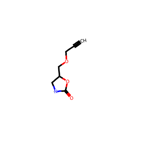 C#CCOCC1C[N]C(=O)O1